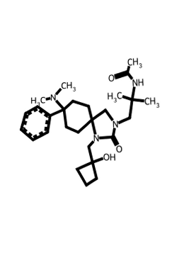 CC(=O)NC(C)(C)CN1CC2(CCC(c3ccccc3)(N(C)C)CC2)N(CC2(O)CCC2)C1=O